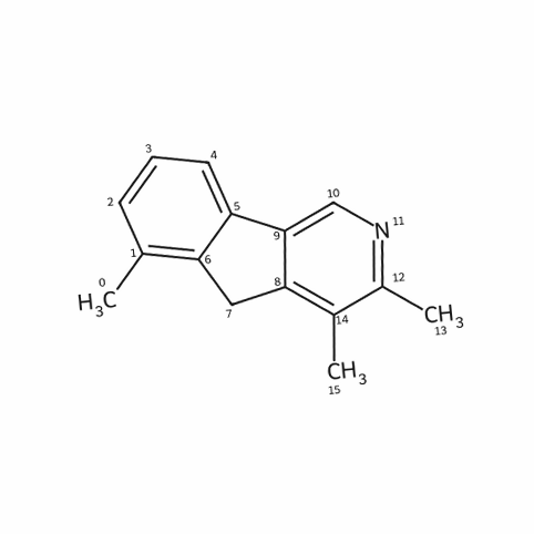 Cc1cccc2c1Cc1c-2cnc(C)c1C